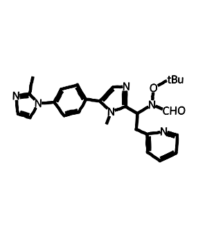 Cc1nccn1-c1ccc(-c2cnc(C(Cc3ccccn3)N(C=O)OC(C)(C)C)n2C)cc1